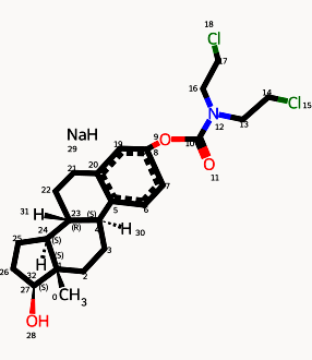 C[C@]12CC[C@@H]3c4ccc(OC(=O)N(CCCl)CCCl)cc4CC[C@H]3[C@@H]1CC[C@@H]2O.[NaH]